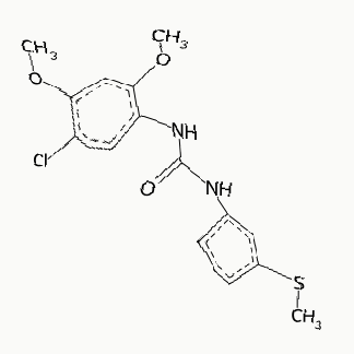 COc1cc(OC)c(NC(=O)Nc2cccc(SC)c2)cc1Cl